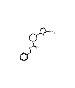 Nc1ncc(C2CCCN(C(=O)OCc3ccccc3)C2)s1